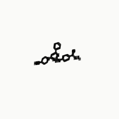 NC(=O)c1ccc(Nc2nc(-c3ccccc3)cc(N3CCC(O)CC3)n2)cc1